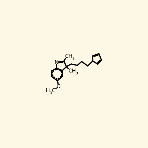 COc1ccc2c(c1)C(C)(CCCCC1C=CC=C1)C(C)=N2